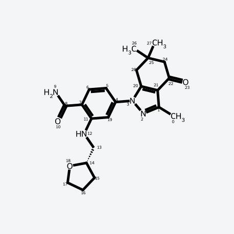 Cc1nn(-c2ccc(C(N)=O)c(NC[C@@H]3CCCO3)c2)c2c1C(=O)CC(C)(C)C2